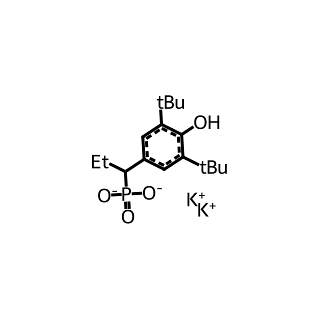 CCC(c1cc(C(C)(C)C)c(O)c(C(C)(C)C)c1)P(=O)([O-])[O-].[K+].[K+]